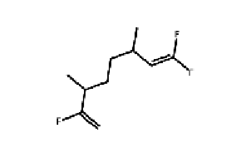 C=C(F)C(C)CCC(C)C=C(F)F